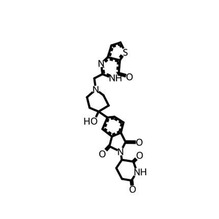 O=C1CCC(N2C(=O)c3ccc(C4(O)CCN(Cc5nc6ccsc6c(=O)[nH]5)CC4)cc3C2=O)C(=O)N1